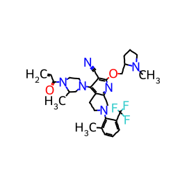 C=CC(=O)N1CCN(c2c(C#N)c(OCC3CCCN3C)nc3c2CCN(c2c(C)cccc2C(F)(F)F)C3)CC1C